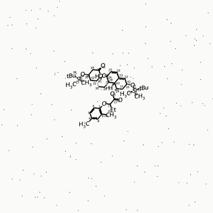 CCC(Oc1ccc(C)cc1C)C(=O)O[C@H]1C[C@H](O[Si](C)(C)C(C)(C)C)C=C2C=C[C@H](C)[C@H](CC[C@@H]3C[C@@H](O[Si](C)(C)C(C)(C)C)CC(=O)O3)[C@H]21